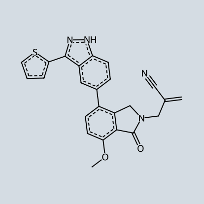 C=C(C#N)CN1Cc2c(-c3ccc4[nH]nc(-c5cccs5)c4c3)ccc(OC)c2C1=O